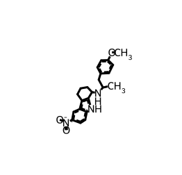 COc1ccc(CC(C)NC2CCCc3c2[nH]c2ccc([N+](=O)[O-])cc32)cc1